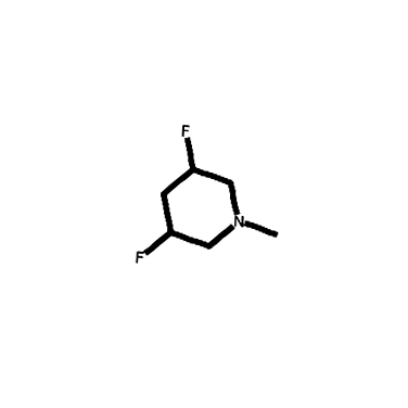 CN1CC(F)CC(F)C1